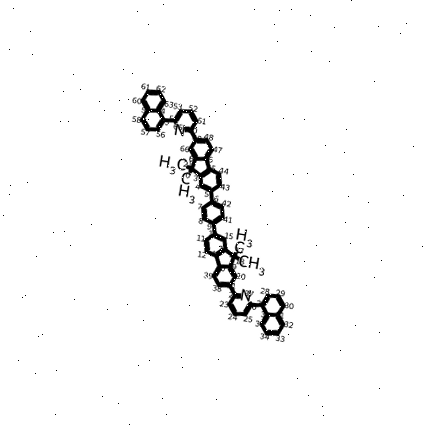 CC1(C)c2cc(-c3ccc(-c4ccc5c(c4)C(C)(C)c4cc(-c6cccc(-c7cccc8ccccc78)n6)ccc4-5)cc3)ccc2-c2ccc(-c3cccc(-c4cccc5ccccc45)n3)cc21